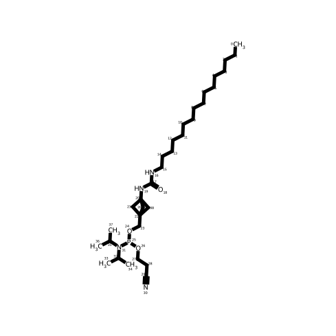 CCCCCCCCCCCCCCCCNC(=O)NC12CC(COP(OCCC#N)N(C(C)C)C(C)C)(C1)C2